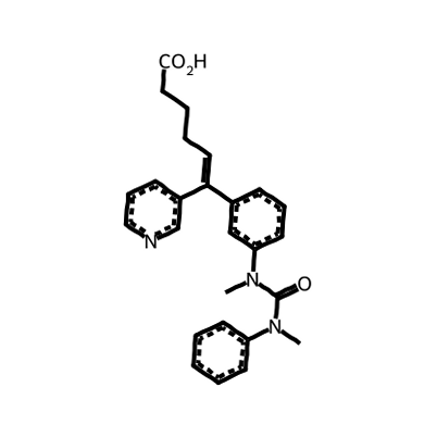 CN(C(=O)N(C)c1cccc(C(=CCCCC(=O)O)c2cccnc2)c1)c1ccccc1